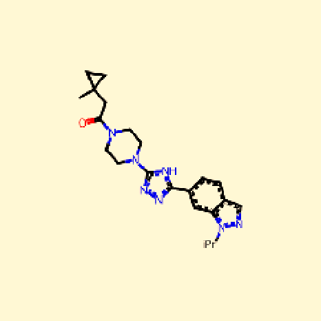 CC(C)n1ncc2ccc(-c3nnc(N4CCN(C(=O)CC5(C)CC5)CC4)[nH]3)cc21